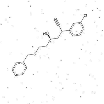 N#CC(C[C@H](O)CCOCc1ccccc1)c1cccc(Cl)c1